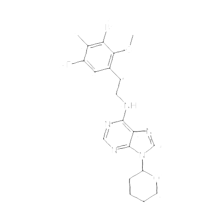 COc1c(CCNc2ncnc3c2ncn3C2CCCCO2)cc(F)c(C)c1Br